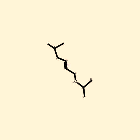 CC(C)C/C=C/COC(C)C